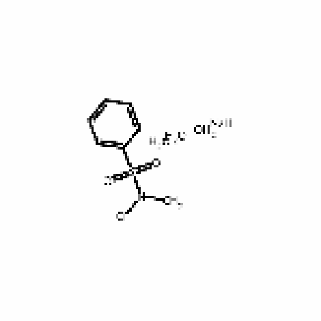 CN(Cl)S(=O)(=O)c1ccccc1.O.O.O.[NaH]